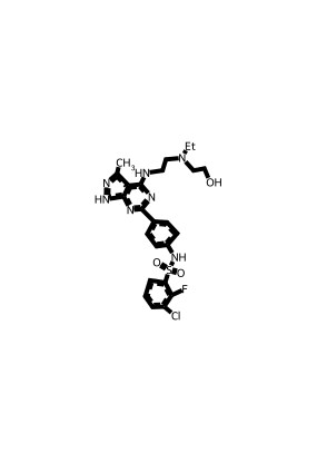 CCN(CCO)CCNc1nc(-c2ccc(NS(=O)(=O)c3cccc(Cl)c3F)cc2)nc2[nH]nc(C)c12